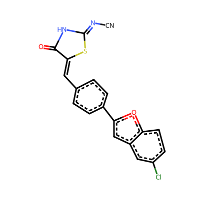 N#CN=C1NC(=O)C(=Cc2ccc(-c3cc4cc(Cl)ccc4o3)cc2)S1